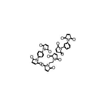 O=C1C=CC(=O)N1CCN1C(=O)C=CC1=O.O=C1C=CC(=O)N1c1ccc(N2C(=O)C=CC2=O)cc1.O=C1C=CC(=O)N1c1cccc(N2C(=O)C=CC2=O)c1